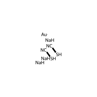 N#CS.N#CS.[Au].[NaH].[NaH].[NaH]